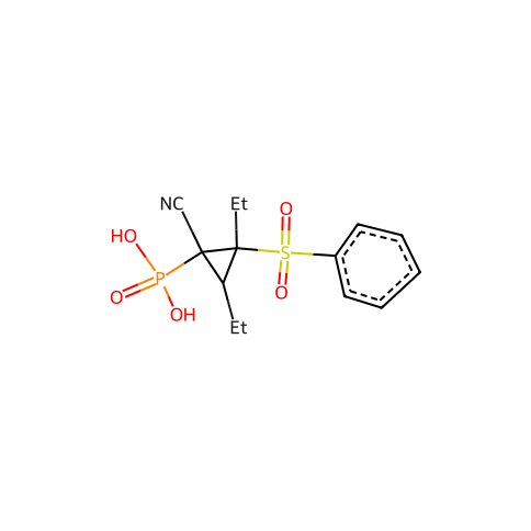 CCC1C(C#N)(P(=O)(O)O)C1(CC)S(=O)(=O)c1ccccc1